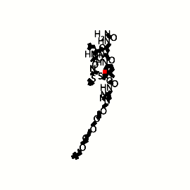 CC(C)C[C@H](NC(=O)CON=C(CSC(C)(C)C)CSC(C)(C)C)C(=O)N[C@@H](CCCNC(N)=O)C(=O)Nc1ccc(COC(=O)NCc2cn(CCOCCOCCOCCOCCOCCC(C)(C)C)nn2)cc1